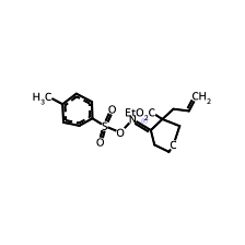 C=CCC1(C(=O)OCC)CCCC/C1=N\OS(=O)(=O)c1ccc(C)cc1